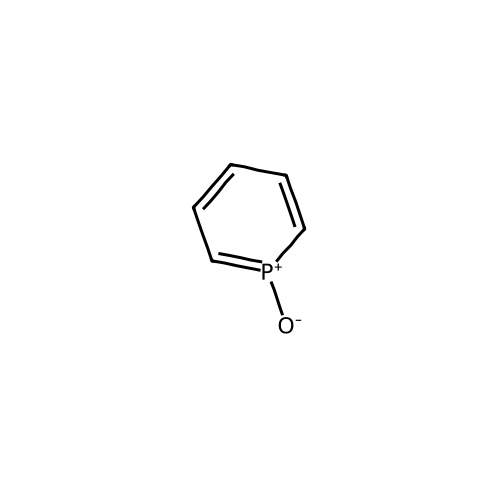 [O-][p+]1ccccc1